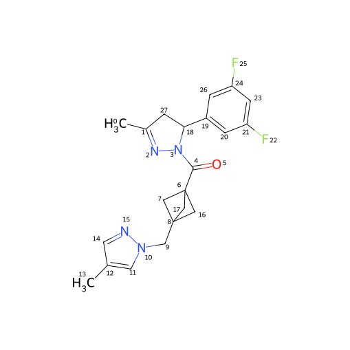 CC1=NN(C(=O)C23CC(Cn4cc(C)cn4)(C2)C3)C(c2cc(F)cc(F)c2)C1